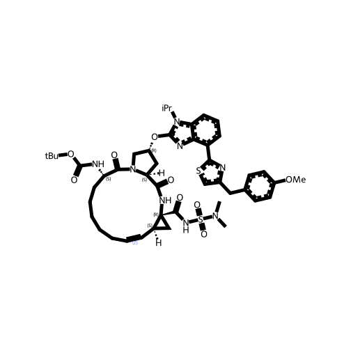 COc1ccc(Cc2csc(-c3cccc4c3nc(O[C@@H]3C[C@H]5C(=O)N[C@]6(C(=O)NS(=O)(=O)N(C)C)C[C@H]6/C=C\CCCCC[C@H](NC(=O)OC(C)(C)C)C(=O)N5C3)n4C(C)C)n2)cc1